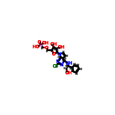 O=P(O)(O)COCC1O[C@@H](n2ccc3c(N[C@@H](CO)c4ccccc4)nc(Cl)nc32)[C@H](O)[C@@H]1O